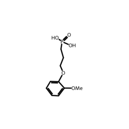 COc1ccccc1OCCCP(=O)(O)O